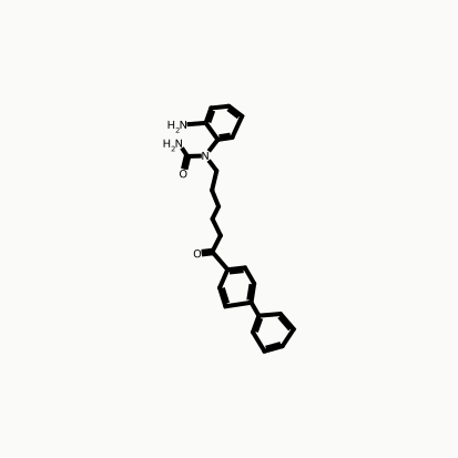 NC(=O)N(CCCCCC(=O)c1ccc(-c2ccccc2)cc1)c1ccccc1N